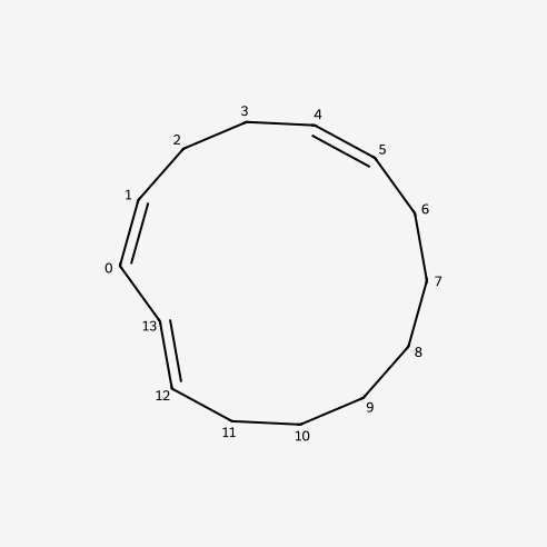 C1=C\CC/C=C\CCCCCC/C=C/1